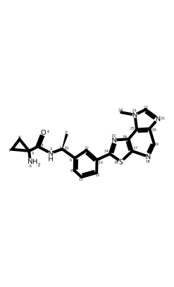 C[C@H](NC(=O)C1(N)CC1)c1cccc(-c2nc3c(ncc4ncn(C)c43)s2)c1